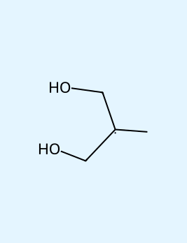 C[C](CO)CO